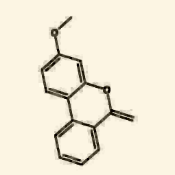 C=C1Oc2cc(OC)ccc2-c2ccccc21